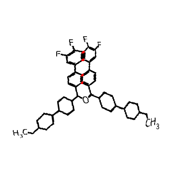 CCC1CCC(C2CCC(C(OC(c3ccc(-c4ccc(F)c(F)c4)cc3)C3CCC(C4CCC(CC)CC4)CC3)c3ccc(-c4ccc(F)c(F)c4)cc3)CC2)CC1